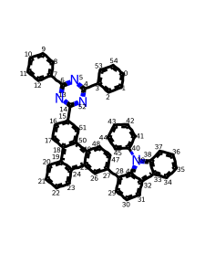 c1ccc(-c2nc(-c3ccccc3)nc(-c3ccc4c5ccccc5c5cc(-c6cccc7c8ccccc8n(-c8ccccc8)c67)ccc5c4c3)n2)cc1